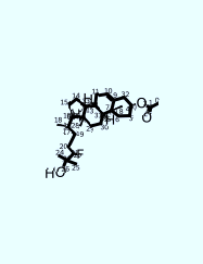 CC(=O)O[C@@H]1CC[C@@]2(C)C(=CC[C@H]3[C@@H]4CC[C@H]([C@H](C)CCC(F)C(C)(C)O)[C@@]4(C)CC[C@@H]32)C1